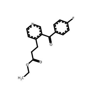 CCOC(=O)CCc1ccncc1C(=O)c1ccc(F)cc1